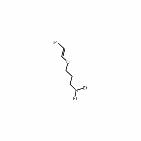 CCN(CC)CCCOC=CC(C)C